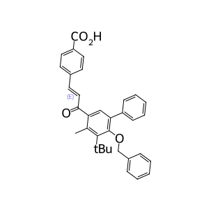 Cc1c(C(=O)/C=C/c2ccc(C(=O)O)cc2)cc(-c2ccccc2)c(OCc2ccccc2)c1C(C)(C)C